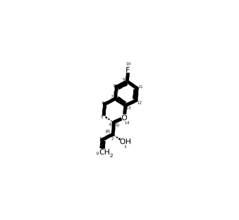 C=C[C@@H](O)[C@@H]1CCc2cc(F)ccc2O1